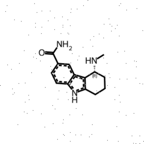 CN[C@@H]1CCCc2[nH]c3ccc(C(N)=O)cc3c21